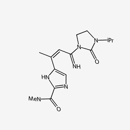 CNC(=O)c1ncc(/C(C)=C\C(=N)N2CCN(C(C)C)C2=O)[nH]1